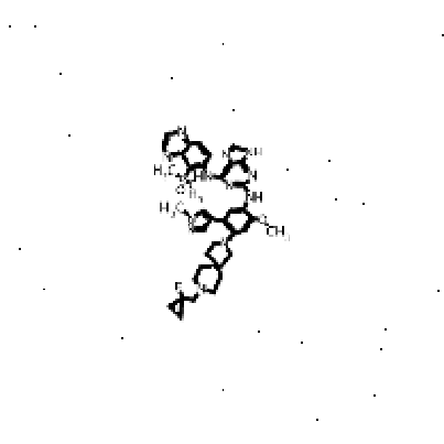 COc1cc(N2CCC3(CCN(CC4(F)CC4)CC3)CC2)c(-c2cnn(C)c2)cc1Nc1nc(Nc2ccc3nccnc3c2P(C)(C)=O)c2nc[nH]c2n1